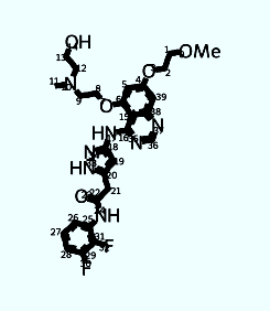 COCCOc1cc(OCCN(C)CCO)c2c(Nc3cc(CC(=O)Nc4cccc(F)c4F)[nH]n3)ncnc2c1